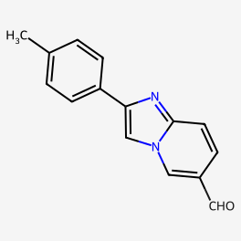 Cc1ccc(-c2cn3cc(C=O)ccc3n2)cc1